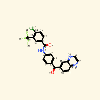 O=C(Nc1ccc(C(=O)c2ccc3nccnc3c2)cc1)c1ccc(Cl)c(C(F)(F)F)c1